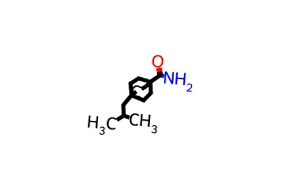 CC(C)CC12CCC(C(N)=O)(CC1)CC2